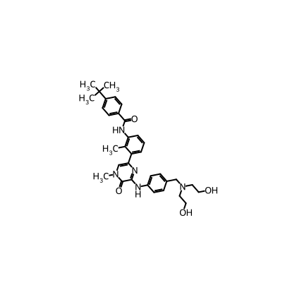 Cc1c(NC(=O)c2ccc(C(C)(C)C)cc2)cccc1-c1cn(C)c(=O)c(Nc2ccc(CN(CCO)CCO)cc2)n1